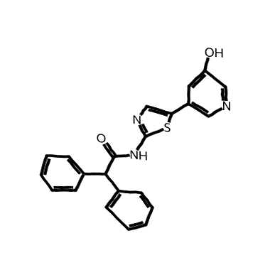 O=C(Nc1ncc(-c2cncc(O)c2)s1)C(c1ccccc1)c1ccccc1